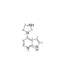 c1cc(N2CCNC2)c2cc[nH]c2n1